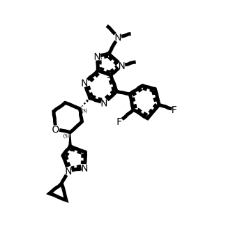 CN(C)c1nc2nc([C@H]3CCO[C@H](c4cnn(C5CC5)c4)C3)nc(-c3ccc(F)cc3F)c2n1C